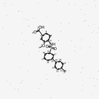 COc1cc(C(=O)O)ccc1NS(=O)(=O)c1cccc(-c2ccc(F)cc2)c1